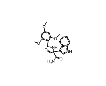 COc1cc(OC)c(CNC(C=O)(C(N)=O)c2c[nH]c3ccccc23)c(OC)c1